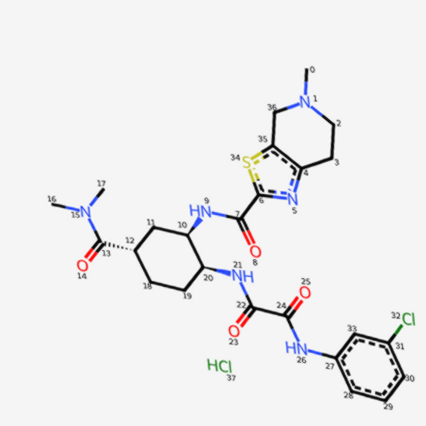 CN1CCc2nc(C(=O)N[C@@H]3C[C@@H](C(=O)N(C)C)CC[C@@H]3NC(=O)C(=O)Nc3cccc(Cl)c3)sc2C1.Cl